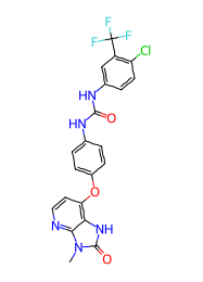 Cn1c(=O)[nH]c2c(Oc3ccc(NC(=O)Nc4ccc(Cl)c(C(F)(F)F)c4)cc3)ccnc21